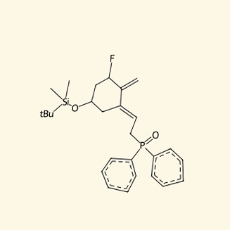 C=C1/C(=C/CP(=O)(c2ccccc2)c2ccccc2)CC(O[Si](C)(C)C(C)(C)C)CC1F